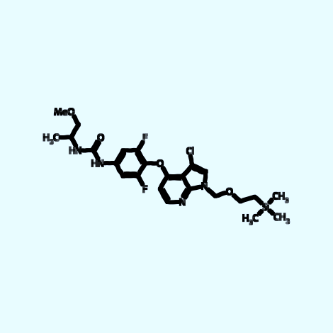 COCC(C)NC(=O)Nc1cc(F)c(Oc2ccnc3c2c(Cl)cn3COCC[Si](C)(C)C)c(F)c1